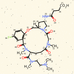 CN(C)CCN(C)C(=O)[C@@H]1CCC(=O)N(C)CC(=O)N2C[C@@H](NC(=O)CCC(=O)O)C[C@H]2COc2ccc(F)cc2C(=O)N1C